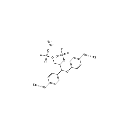 O=S(=O)([O-])OCC(OS(=O)(=O)[O-])C(Oc1ccc(N=C=S)cc1)c1ccc(N=C=S)cc1.[Na+].[Na+]